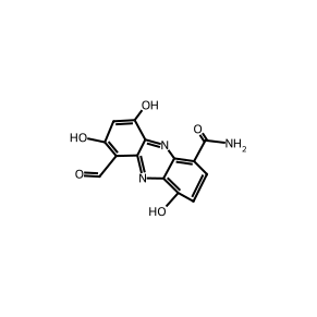 NC(=O)c1ccc(O)c2nc3c(C=O)c(O)cc(O)c3nc12